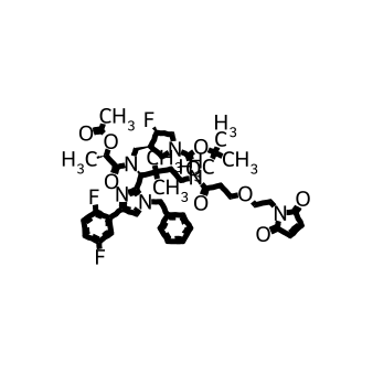 CC(=O)O[C@@H](C)C(=O)N(C[C@@H]1CN(C(=O)OC(C)(C)C)C[C@@H]1F)[C@@H](c1nc(-c2cc(F)ccc2F)cn1Cc1ccccc1)C(C)(C)CCNC(=O)CCOCCN1C(=O)C=CC1=O